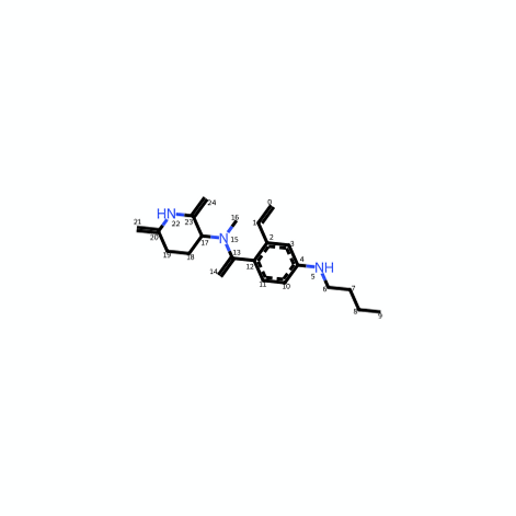 C=Cc1cc(NCCCC)ccc1C(=C)N(C)C1CCC(=C)NC1=C